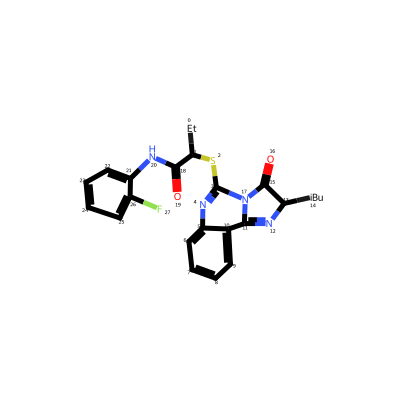 CCC(SC1=Nc2ccccc2C2=NC(C(C)CC)C(=O)N12)C(=O)Nc1ccccc1F